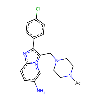 CC(=O)N1CCN(Cc2c(-c3ccc(Cl)cc3)nc3ccc(N)cn23)CC1